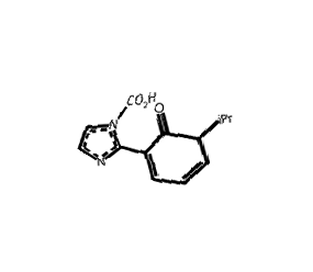 CC(C)C1C=CC=C(c2nccn2C(=O)O)C1=O